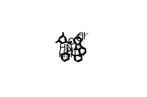 Cc1cc(C)cc(C(=O)[NH][Hf+2]([CH]2c3ccccc3-c3ccccc32)[SiH](c2ccccc2)c2ccccc2)c1.[Cl-].[Cl-]